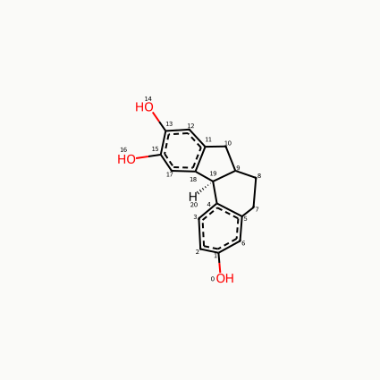 Oc1ccc2c(c1)CCC1Cc3cc(O)c(O)cc3[C@H]21